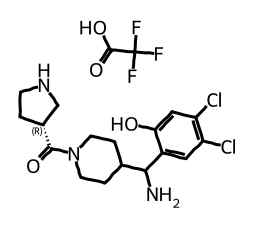 NC(c1cc(Cl)c(Cl)cc1O)C1CCN(C(=O)[C@@H]2CCNC2)CC1.O=C(O)C(F)(F)F